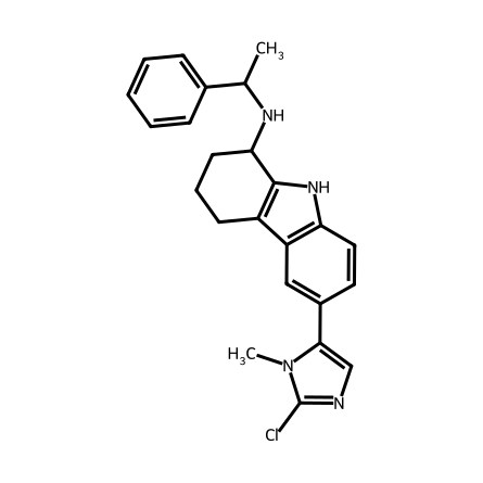 CC(NC1CCCc2c1[nH]c1ccc(-c3cnc(Cl)n3C)cc21)c1ccccc1